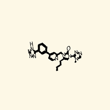 CCCCc1cn(-c2nncn2C)c(=O)n1Cc1cc(-c2cccc(-c3nnn[nH]3)c2)ccn1